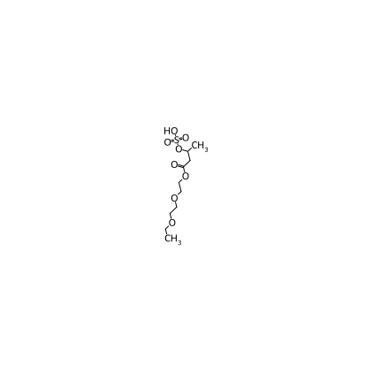 CCOCCOCCOC(=O)CC(C)OS(=O)(=O)O